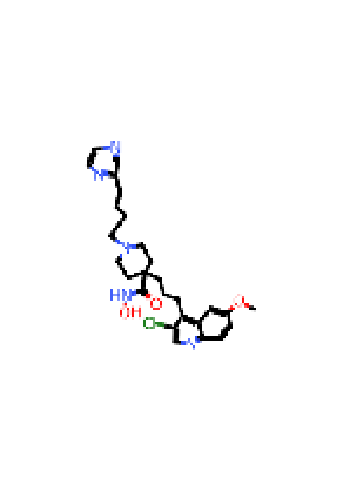 COc1ccc2ncc(Cl)c(CCCC3(C(=O)NO)CCN(CCCCc4cnccn4)CC3)c2c1